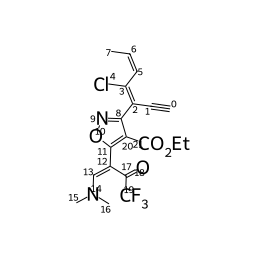 C#C/C(=C(Cl)\C=C/C)c1noc(/C(=C/N(C)C)C(=O)C(F)(F)F)c1C(=O)OCC